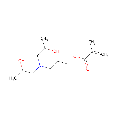 C=C(C)C(=O)OCCCN(CC(C)O)CC(C)O